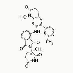 Cc1cc(-c2cc3c(cc2Nc2cccc4c2C(=O)N([C@]2(C)CCC(=O)NC2=O)C4=O)N(C)C(=O)CC3)ccn1